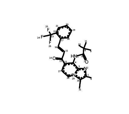 Cc1nc2c(NC(=O)C(C)(C)C)c(C(=O)C=Cc3ccccc3C(F)(F)F)ccn2c1C